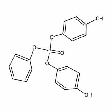 O=P(Oc1ccccc1)(Oc1ccc(O)cc1)Oc1ccc(O)cc1